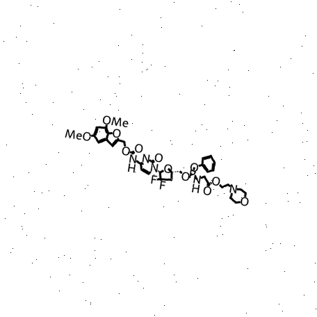 COc1cc(OC)c2oc(COC(=O)Nc3ccn([C@@H]4O[C@H](COP(NCC(=O)OCCN5CCOCC5)Oc5ccccc5)CC4(F)F)c(=O)n3)cc2c1